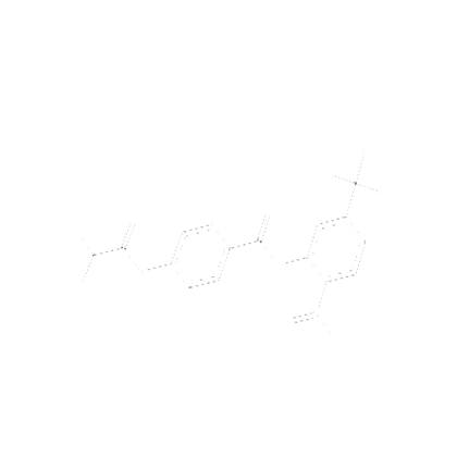 CC(C)C(=O)Nc1ccc(C(=O)Oc2cc(C(F)(F)F)ccc2[N+](=O)[O-])cc1